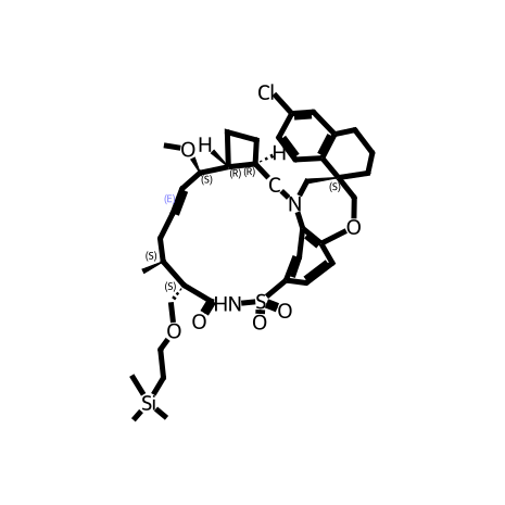 CO[C@@H]1/C=C/C[C@H](C)[C@@H](COCC[Si](C)(C)C)C(=O)NS(=O)(=O)c2ccc3c(c2)N(C[C@@H]2CC[C@H]21)C[C@@]1(CCCc2cc(Cl)ccc21)CO3